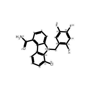 NC(=O)c1cccc2c1c1[c]ccc(Cl)c1n2Cc1cc(F)c(F)cc1F